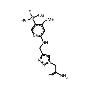 COc1cc(NCc2cn(CC(N)=O)nn2)ncc1[Si](F)(C(C)(C)C)C(C)(C)C